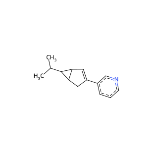 CC(C)C1C2C=C(c3cccnc3)CC21